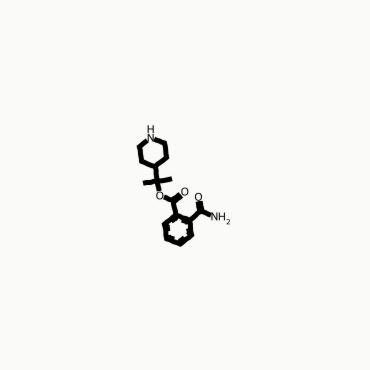 CC(C)(OC(=O)c1ccccc1C(N)=O)C1CCNCC1